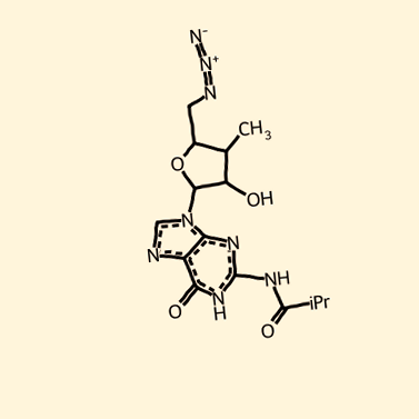 CC(C)C(=O)Nc1nc2c(ncn2C2OC(CN=[N+]=[N-])C(C)C2O)c(=O)[nH]1